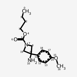 CCCCOC(=O)N1CC(N)(c2ccc(OC)cc2)C1